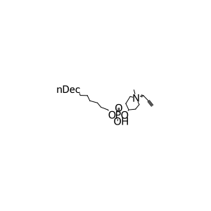 C#CC[N+]1(C)CCC(OP(=O)(O)OCCCCCCCCCCCCCCCC)CC1